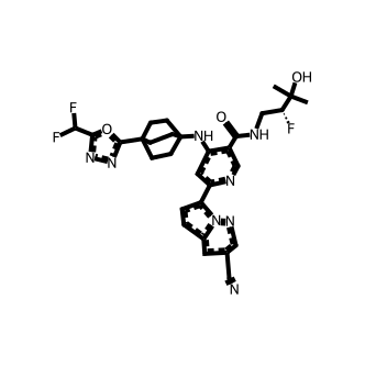 CC(C)(O)[C@H](F)CNC(=O)c1cnc(-c2ccc3cc(C#N)cnn23)cc1NC12CCC(c3nnc(C(F)F)o3)(CC1)CC2